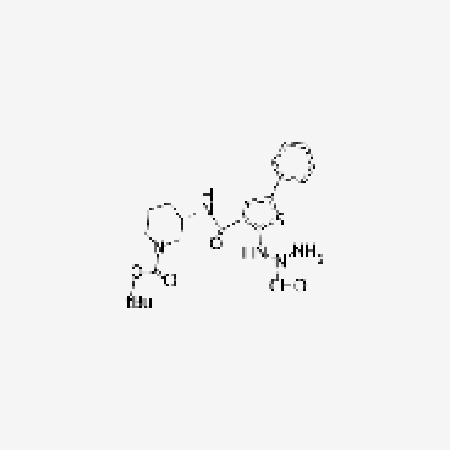 CC(C)(C)OC(=O)N1CCC[C@H](NC(=O)c2cc(-c3ccccc3)sc2NN(N)C=O)C1